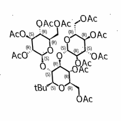 CC(=O)OC[C@H]1O[C@@H](C(C)(C)C)[C@H](O[C@@H]2O[C@H](COC(C)=O)[C@@H](OC(C)=O)[C@H](OC(C)=O)[C@H]2OC(C)=O)[C@@H](O[C@@H]2O[C@H](COC(C)=O)[C@@H](OC(C)=O)[C@H](OC(C)=O)[C@H]2OC(C)=O)[C@@H]1OC(C)=O